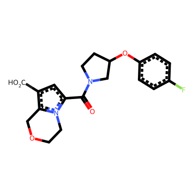 O=C(O)c1cc(C(=O)N2CCC(Oc3ccc(F)cc3)C2)n2c1COCC2